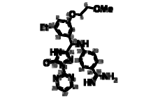 CCc1cc(OCCOC)cc(C(Nc2ccc(C(=N)N)cc2)c2nn(-c3ncccn3)c(=O)[nH]2)c1